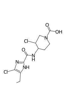 CCc1[nH]c(C(=O)NC2CCN(C(=O)O)CC2Cl)nc1Cl